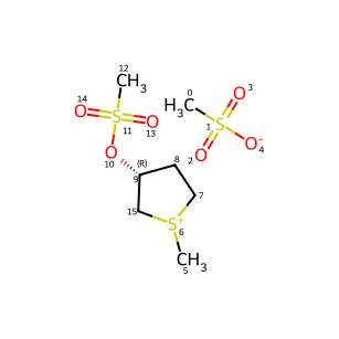 CS(=O)(=O)[O-].C[S+]1CC[C@@H](OS(C)(=O)=O)C1